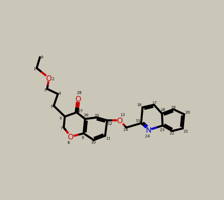 CCOCCCC1COc2ccc(OCc3ccc4ccccc4n3)cc2C1=O